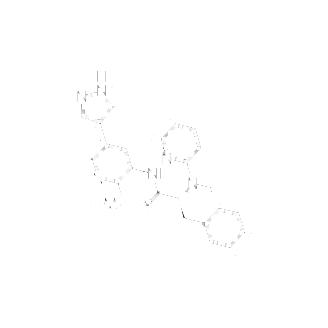 COc1ncc(-c2cn[nH]c2)cc1NC(=O)[C@H](Cc1ccccc1)N(C)c1ccccn1